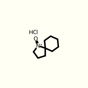 Cl.O=[N+]1CCCC12CCCCC2